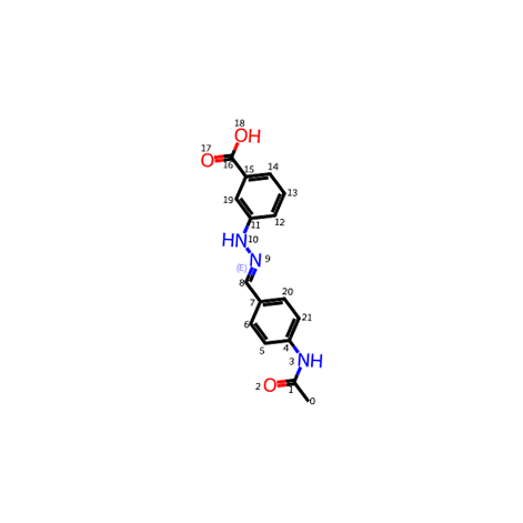 CC(=O)Nc1ccc(/C=N/Nc2cccc(C(=O)O)c2)cc1